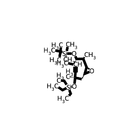 C#C[C@@](C)(C[C@H]1O[C@@H]1[C@H](C)[C@H](CC)O[Si](C)(C)C(C)(C)C)O[Si](CC)(CC)CC